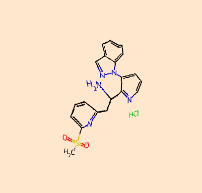 CS(=O)(=O)c1cccc(CC(N)c2ncccc2-n2ncc3ccccc32)n1.Cl